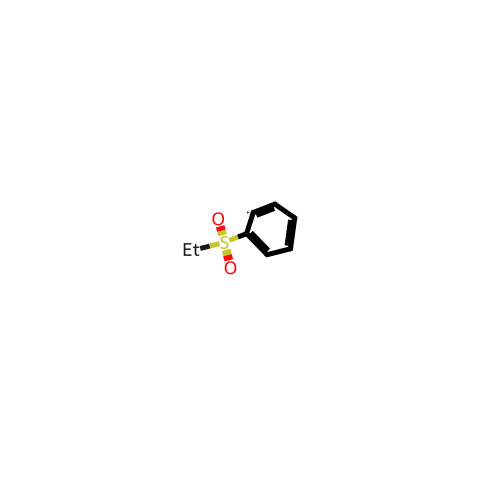 CCS(=O)(=O)c1[c]cccc1